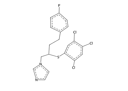 Fc1ccc(CCC(Cn2ccnc2)Sc2cc(Cl)c(Cl)cc2Cl)cc1